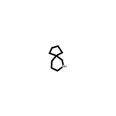 [CH]1CCC2(C1)CCCNC2